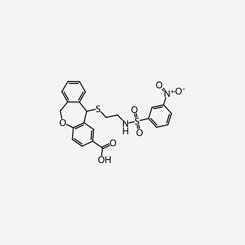 O=C(O)c1ccc2c(c1)C(SCCNS(=O)(=O)c1cccc([N+](=O)[O-])c1)c1ccccc1CO2